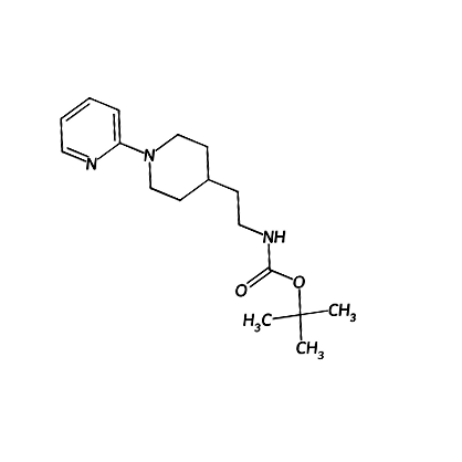 CC(C)(C)OC(=O)NCCC1CCN(c2ccccn2)CC1